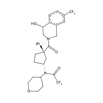 CC(C)[C@]1(C(=O)N2Cc3cc(C(F)(F)F)ccc3C(O)C2)CC[C@@H](N(C(=O)C(F)(F)F)C2CCOCC2)C1